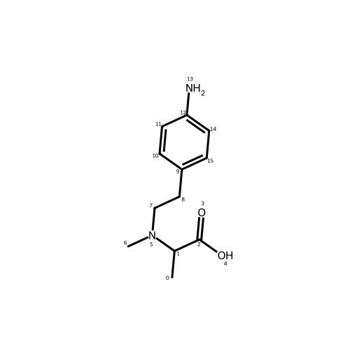 CC(C(=O)O)N(C)CCc1ccc(N)cc1